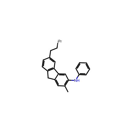 Cc1cc2c(cc1Nc1ccccc1)-c1cc(CCC(C)C)ccc1C2